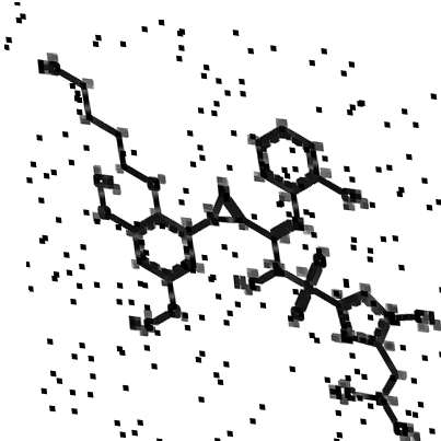 COc1cc(OC)c(OCCCCO)c(N2N=C2/C(=N\c2ccccc2C)N(C)S(=O)(=O)c2cn(C)c(CN(C)C)n2)c1